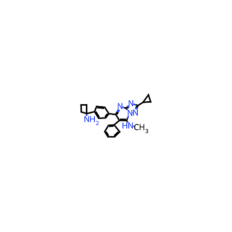 CNc1c(-c2ccccc2)c(-c2ccc(C3(N)CCC3)cc2)nc2nc(C3CC3)nn12